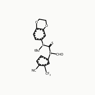 CC(C)(C)N(C(=S)N(C=O)c1ccc(C#N)c(C(F)(F)F)c1)c1ccc2c(c1)OCCO2